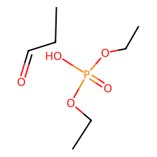 CCC=O.CCOP(=O)(O)OCC